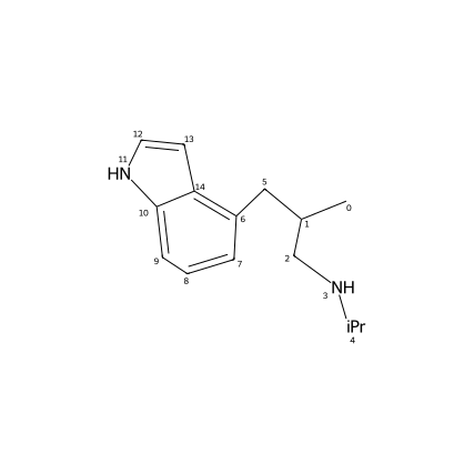 CC(CNC(C)C)Cc1cccc2[nH]ccc12